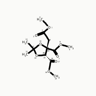 COC(=O)C[C@]1(C(=O)OC)OC(C)(C)O[C@H]1C(=O)OC